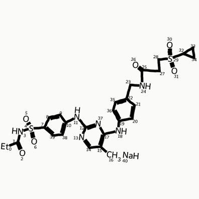 CCC(=O)NS(=O)(=O)c1ccc(Nc2ncc(C)c(Nc3ccc(CNC(=O)CCS(=O)(=O)C4CC4)cc3)n2)cc1.[NaH]